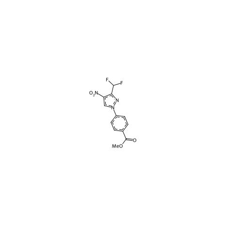 COC(=O)c1ccc(-n2cc([N+](=O)[O-])c(C(F)F)n2)cc1